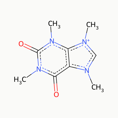 Cn1c(=O)c2c(n(C)c1=O)[n+](C)cn2C